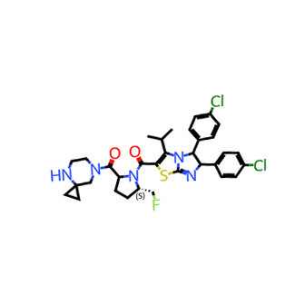 CC(C)C1=C(C(=O)N2C(C(=O)N3CCNC4(CC4)C3)CC[C@H]2CF)SC2=NC(c3ccc(Cl)cc3)C(c3ccc(Cl)cc3)N21